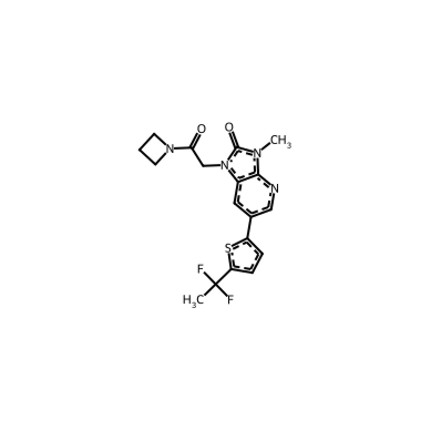 Cn1c(=O)n(CC(=O)N2CCC2)c2cc(-c3ccc(C(C)(F)F)s3)cnc21